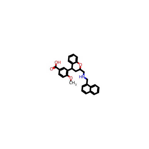 COc1ccc(C(=O)O)cc1C1CC(CNCc2cccc3ccccc23)Oc2ccccc21